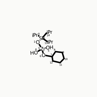 CC(C)[Si]([O][Zr]([OH])([OH])[O]C1CCCCC1)(C(C)C)C(C)C